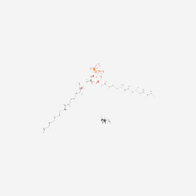 CCCCCCCCCCCCCCCC(=O)OCC(COP(=O)([O-])[O-])OC(=O)CCCCCCCCCCCCCCC.[Na+].[Na+]